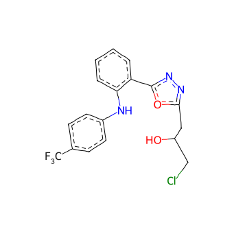 OC(CCl)Cc1nnc(-c2ccccc2Nc2ccc(C(F)(F)F)cc2)o1